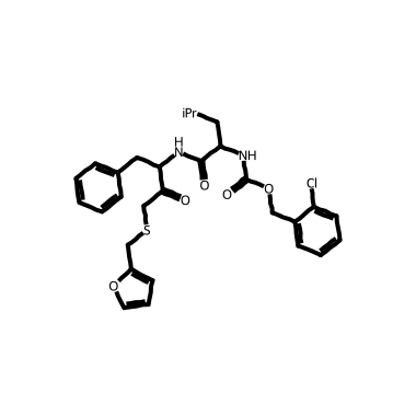 CC(C)CC(NC(=O)OCc1ccccc1Cl)C(=O)NC(Cc1ccccc1)C(=O)CSCc1ccco1